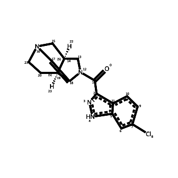 O=C(c1n[nH]c2cc(Cl)ccc12)N1C[C@@H]2CN3C=C1[C@H]2CC3